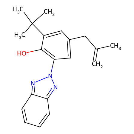 C=C(C)Cc1cc(-n2nc3ccccc3n2)c(O)c(C(C)(C)C)c1